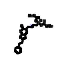 COPOP(=O)(C/C=C/Cn1cc2cc(CCc3ccccc3)oc2nc1=O)OPOC